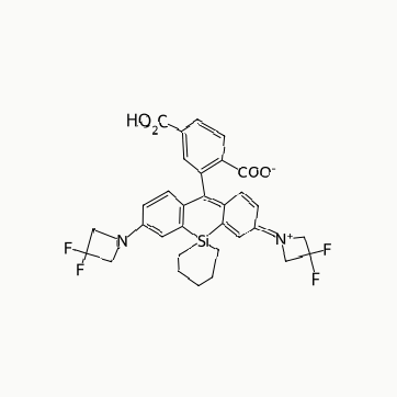 O=C(O)c1ccc(C(=O)[O-])c(C2=C3C=CC(=[N+]4CC(F)(F)C4)C=C3[Si]3(CCCCC3)c3cc(N4CC(F)(F)C4)ccc32)c1